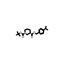 CC(C)c1ccc(COC(=O)[C@@H]2CCCN(C(=O)OC(C)(C)C)C2)cc1